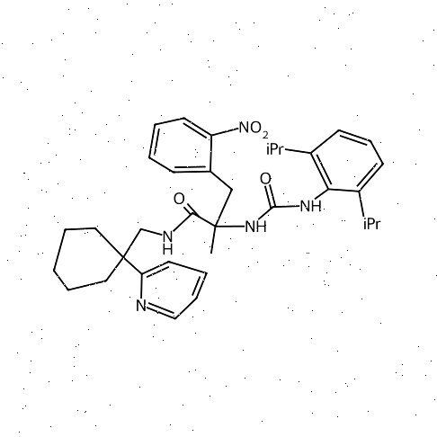 CC(C)c1cccc(C(C)C)c1NC(=O)NC(C)(Cc1ccccc1[N+](=O)[O-])C(=O)NCC1(c2ccccn2)CCCCC1